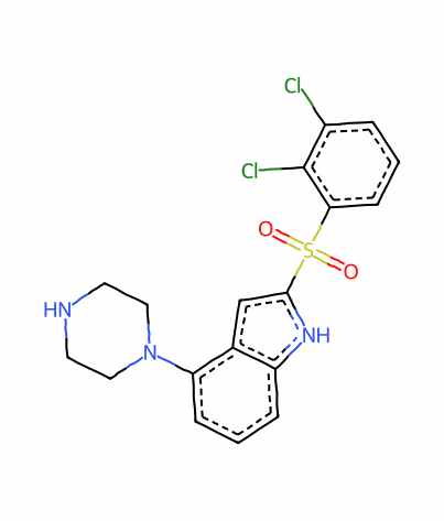 O=S(=O)(c1cc2c(N3CCNCC3)cccc2[nH]1)c1cccc(Cl)c1Cl